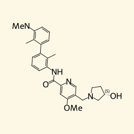 CNc1cccc(-c2cccc(NC(=O)c3cc(OC)c(CN4CC[C@H](O)C4)cn3)c2C)c1C